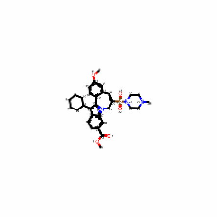 COC(=O)c1ccc2c(C3CCCCC3)c3n(c2c1)CC(S(=O)(=O)N1CCN(C)CC1)=Cc1cc(OC)ccc1-3